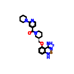 NC1=NSNc2cccc(OC[C@H]3CCCN(C(=O)c4ccnc(N5CCCCC5)c4)C3)c21